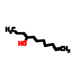 C=CCCCCCC(O)CCC